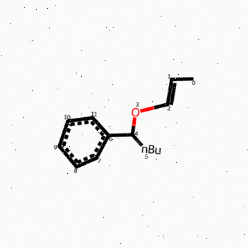 CC=COC(CCCC)c1ccccc1